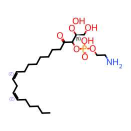 CCCCC/C=C\C/C=C\CCCCCCCC(=O)C(OP(=O)(O)OCCN)[C@H](CO)OO